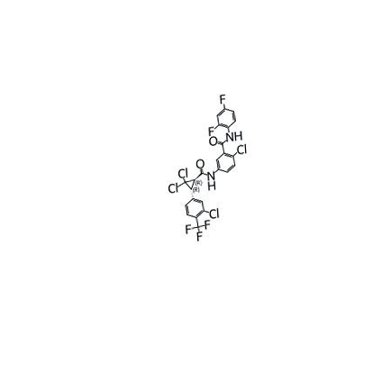 O=C(Nc1ccc(F)cc1F)c1cc(NC(=O)[C@H]2[C@H](c3ccc(C(F)(F)F)c(Cl)c3)C2(Cl)Cl)ccc1Cl